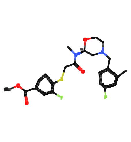 Cc1cc(F)ccc1CN1CCO[C@H](N(C)C(=O)CSc2ccc(C(=O)OC(C)(C)C)cc2F)C1